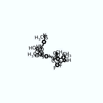 Cc1ncsc1-c1ccc(CNC(=O)[C@@H]2C[C@@H](O)CN2C(=O)[C@@H](NC(=O)CN2CCN(CCNC(=O)c3cc4c(cc3CS(C)(=O)=O)-c3cn(C)c(=O)c5[nH]cc(c35)CN4c3ncc(F)cc3F)CC2)C(C)(C)C)cc1